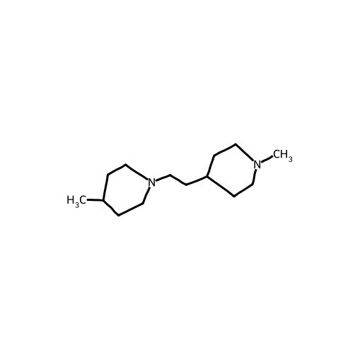 CC1CCN(CCC2CCN(C)CC2)CC1